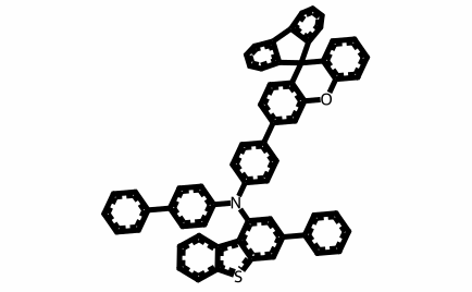 c1ccc(-c2ccc(N(c3ccc(-c4ccc5c(c4)Oc4ccccc4C54c5ccccc5-c5ccccc54)cc3)c3cc(-c4ccccc4)cc4sc5ccccc5c34)cc2)cc1